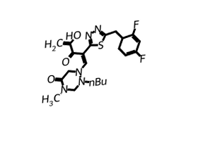 C=C(O)C(=O)/C(=C\N1CC(=O)N(C)CN1CCCC)c1nnc(CC2CC=C(F)C=C2F)s1